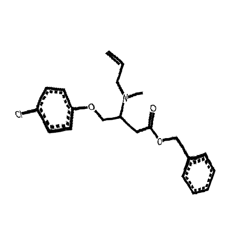 C=CCN(C)C(COc1ccc(Cl)cc1)CC(=O)OCc1ccccc1